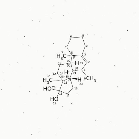 CC1C=C2CCCC[C@]2(C)[C@@H]2CC[C@@]3(C)[C@@H](CCC3(O)O)[C@H]12